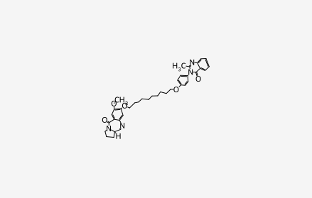 COc1cc2c(cc1OCCCCCCCCCCOc1ccc(-n3c(C)nc4ccccc4c3=O)cc1)N=C[C@@H]1CCCN1C2=O